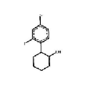 OC1CCCCC1c1ccc(Br)cc1F